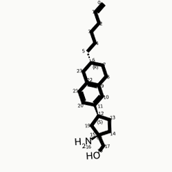 C=CCCCC[C@@H]1CCc2cc([C@H]3CC[C@](N)(CO)C3)ccc2C1